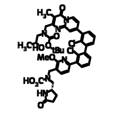 COc1nc(-c2cccc(-c3cccc(-c4ccn5c(=O)c(C)c(CN(C[C@H](C)O)C(=O)OC(C)(C)C)nc5c4)c3Cl)c2Cl)ccc1CN(C[C@@H]1CCC(=O)N1)C(=O)O